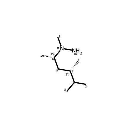 CC(C)[C@@H](C)C[C@H](C)N(C)N